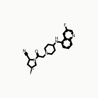 N#CC1C[C@H](F)CN1C(=O)CN1CCC(Nc2cccc3ncc(F)cc23)CC1